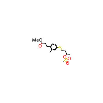 COC(=O)CCc1ccc(SCCC(C)OS(C)(=O)=O)cc1C